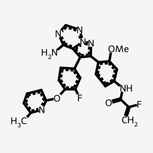 C=C(F)C(=O)Nc1ccc(-c2nn3ncnc(N)c3c2-c2ccc(Oc3cccc(C)n3)c(F)c2)c(OC)c1